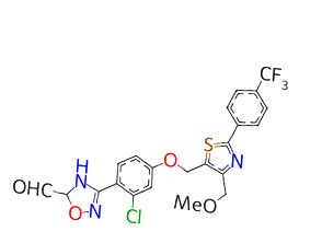 COCc1nc(-c2ccc(C(F)(F)F)cc2)sc1COc1ccc(C2=NOC(C=O)N2)c(Cl)c1